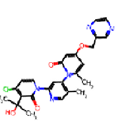 Cc1cnc(-n2ccc(Cl)c(C(C)(C)O)c2=O)cc1-n1c(C)cc(OCc2cnccn2)cc1=O